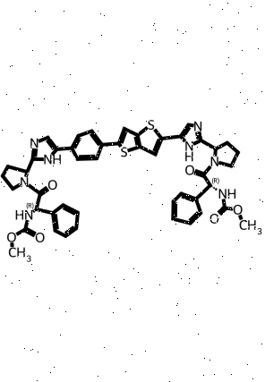 COC(=O)N[C@@H](C(=O)N1CCCC1c1ncc(-c2ccc(-c3cc4sc(-c5cnc(C6CCCN6C(=O)[C@H](NC(=O)OC)c6ccccc6)[nH]5)cc4s3)cc2)[nH]1)c1ccccc1